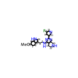 COc1ccc2c(CCNc3nc(-c4cncc(F)c4)nc4c3CCNC4)c[nH]c2c1